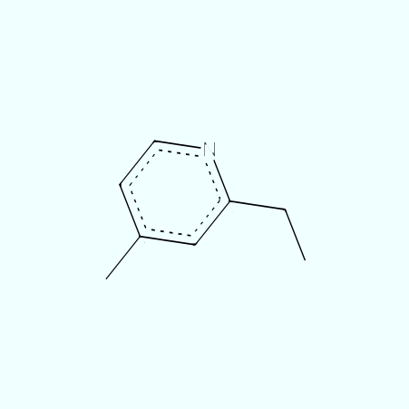 [CH2]Cc1cc(C)ccn1